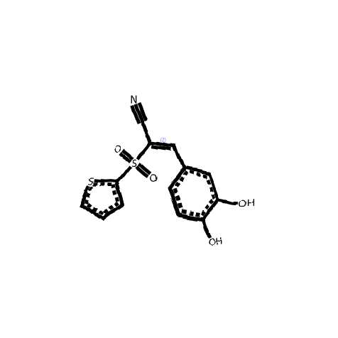 N#C/C(=C/c1ccc(O)c(O)c1)S(=O)(=O)c1cccs1